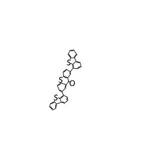 O=c1c2cc(-c3cccc4c3sc3ccccc34)ccc2sc2ccc(-c3cccc4c3sc3ccccc34)cc12